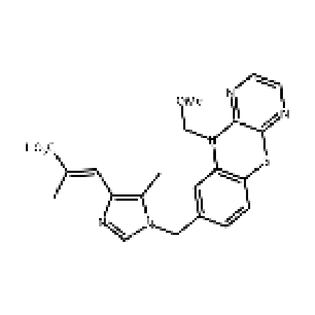 COCN1c2cc(Cn3cnc(/C=C(\C)C(=O)O)c3C)ccc2Sc2nccnc21